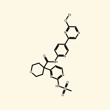 CCOc1cncc(-c2ccc(NC(=O)C3(c4ccnc(NS(C)(=O)=O)n4)CCOCC3)nc2)n1